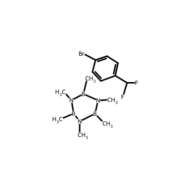 CB1N(C)B(C)N(C)B(C)N1C.FC(F)c1ccc(Br)cc1